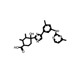 Cc1cc(Nc2nccc(C)n2)cc(-c2cnc(C3(O)CCC(C(=O)O)C(C)C3C)s2)c1